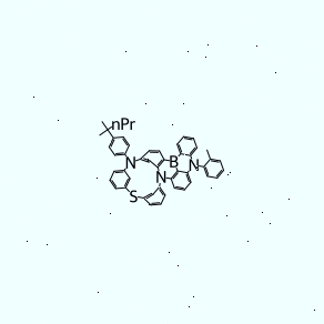 CCCC(C)(C)c1ccc(N2c3cccc(c3)Sc3cccc(c3)N3c4cc2ccc4B2c4ccccc4N(c4ccccc4C)c4cccc3c42)cc1